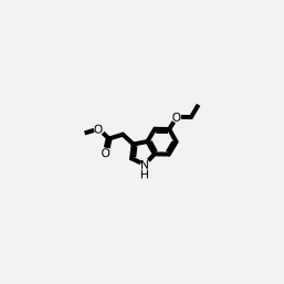 CCOc1ccc2[nH]cc(CC(=O)OC)c2c1